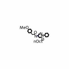 CCCCCCCCOc1c/c(=N/C(=O)Cc2ccc(OC)cc2)cnn1-c1ccccc1